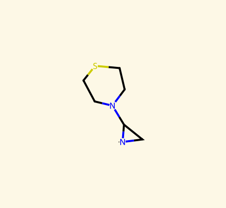 C1CN(C2C[N]2)CCS1